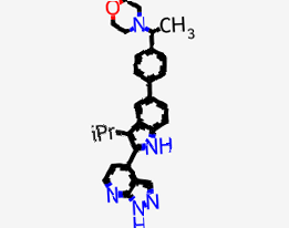 CC(C)c1c(-c2ccnc3[nH]ncc23)[nH]c2ccc(-c3ccc(C(C)N4CCOCC4)cc3)cc12